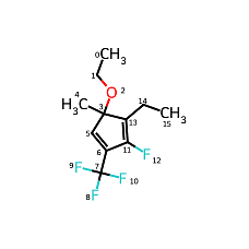 CCOC1(C)C=C(C(F)(F)F)C(F)=C1CC